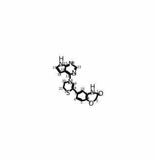 O=C1COc2ccc(C3=CN(c4ncnc5[nH]ccc45)CCS3)cc2N1